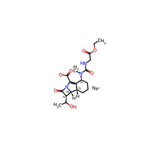 CCOC(=O)CNC(=O)N(C)[C@H]1CCC[C@H]2C1=C(C(=O)[O-])N1C(=O)[C@H](C(C)O)[C@@H]21.[Na+]